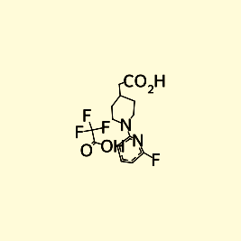 O=C(O)C(F)(F)F.O=C(O)CC1CCN(c2cccc(F)n2)CC1